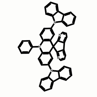 c1ccc(N2c3ccc(-n4c5ccccc5c5ccccc54)cc3C3(c4cc(-n5c6ccccc6c6ccccc65)ccc42)c2ncccc2-c2cccnc23)cc1